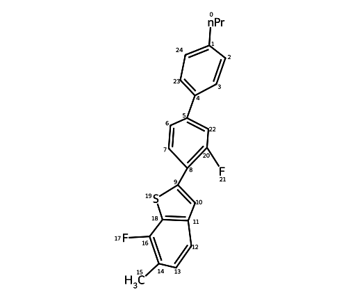 CCCc1ccc(-c2ccc(-c3cc4ccc(C)c(F)c4s3)c(F)c2)cc1